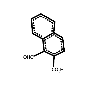 O=[C]c1c(C(=O)O)ccc2ccccc12